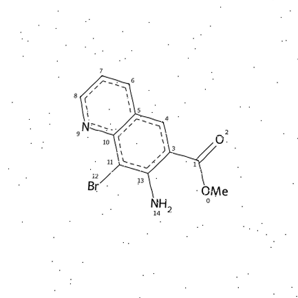 COC(=O)c1cc2cccnc2c(Br)c1N